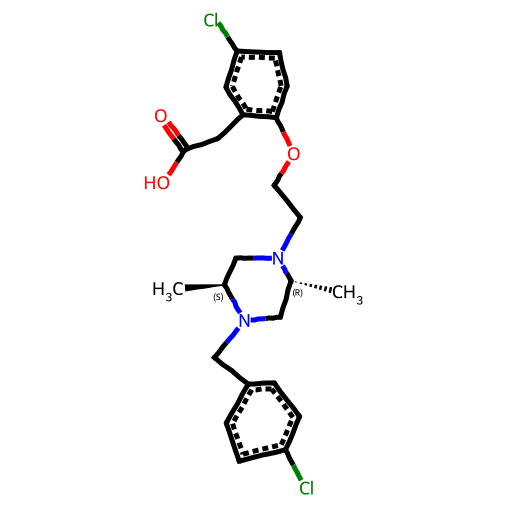 C[C@@H]1CN(Cc2ccc(Cl)cc2)[C@@H](C)CN1CCOc1ccc(Cl)cc1CC(=O)O